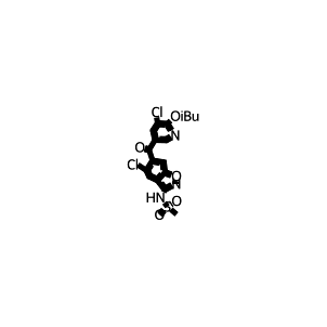 CC(C)COc1ncc(C(=O)c2cc3onc(NS(C)(=O)=O)c3cc2Cl)cc1Cl